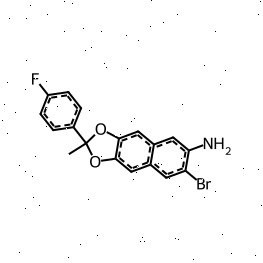 CC1(c2ccc(F)cc2)Oc2cc3cc(N)c(Br)cc3cc2O1